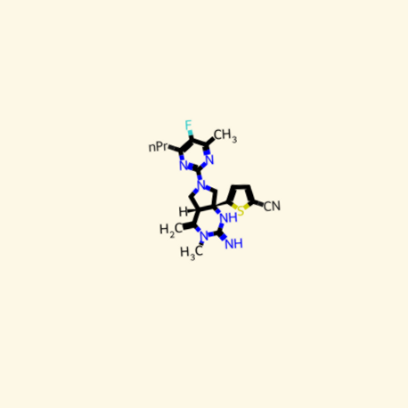 C=C1[C@@H]2CN(c3nc(C)c(F)c(CCC)n3)C[C@]2(c2ccc(C#N)s2)NC(=N)N1C